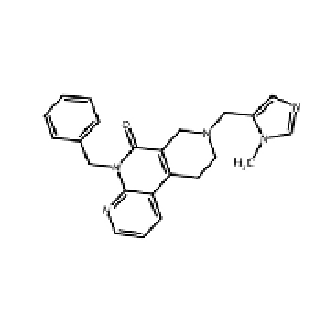 Cn1cncc1CN1CCc2c(c(=O)n(Cc3ccccc3)c3ncccc23)C1